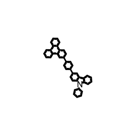 c1ccc(-n2c3ccccc3c3cc(-c4ccc(-c5ccc6c7ccccc7c7ccccc7c6c5)cc4)ccc32)cc1